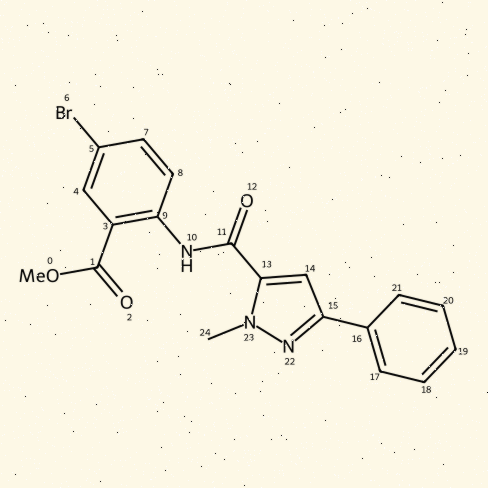 COC(=O)c1cc(Br)ccc1NC(=O)c1cc(-c2ccccc2)nn1C